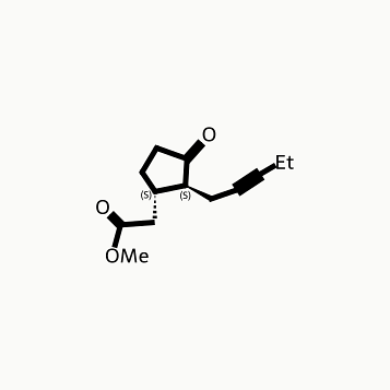 CCC#CC[C@@H]1C(=O)CC[C@H]1CC(=O)OC